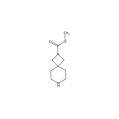 COC(=O)N1CC2(CCNCC2)C1